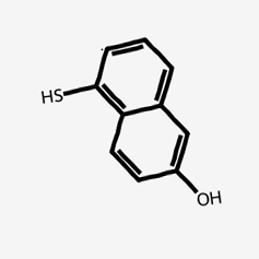 Oc1ccc2c(S)[c]ccc2c1